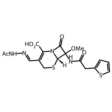 COC1(NC(=O)Cc2cccs2)C(=O)N2C(C(=O)O)=C(C=NNC(C)=O)CS[C@H]21